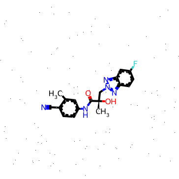 Cc1cc(NC(=O)[C@@](C)(O)Cn2nc3ccc(F)cc3n2)ccc1C#N